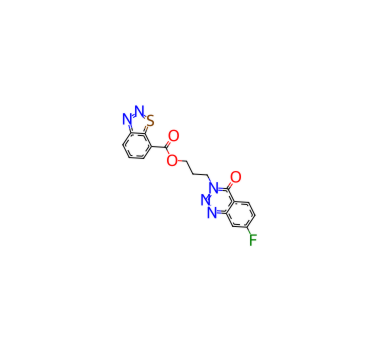 O=C(OCCCn1nnc2cc(F)ccc2c1=O)c1cccc2nnsc12